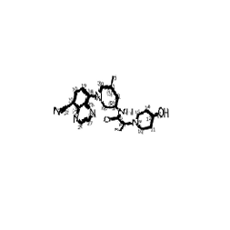 C[C@H]1C[C@@H](NC(=O)[C@H](C)N2CCC(O)CC2)CN(c2ccc(C#N)c3nccnc23)C1